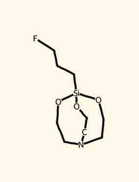 FCCC[Si]12OCCN(CCO1)CCO2